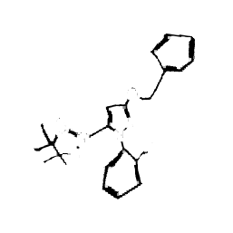 CC1(C)OB(c2cc(OCc3ccccc3)nn2-c2ccccc2F)OC1(C)C